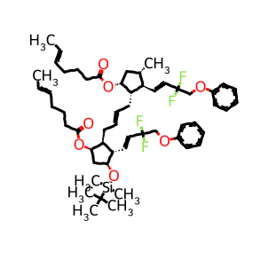 C/C=C/CCCC(=O)O[C@@H]1C[C@H](O[Si](C)(C)C(C)(C)C)[C@@H](/C=C/C(F)(F)COc2ccccc2)[C@@H]1C/C=C/C[C@H]1[C@H](/C=C/C(F)(F)COc2ccccc2)[C@@H](C)C[C@H]1OC(=O)CCC/C=C/C